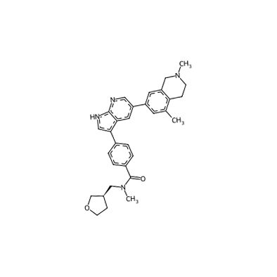 Cc1cc(-c2cnc3[nH]cc(-c4ccc(C(=O)N(C)C[C@H]5CCOC5)cc4)c3c2)cc2c1CCN(C)C2